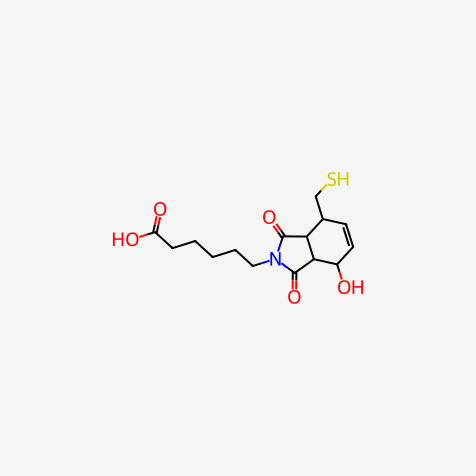 O=C(O)CCCCCN1C(=O)C2C(O)C=CC(CS)C2C1=O